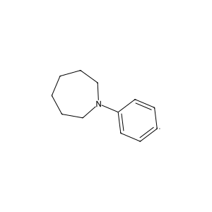 [c]1ccc(N2CCCCCC2)cc1